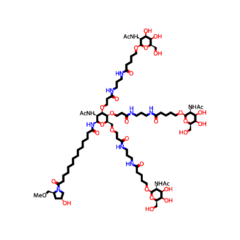 COC[C@@H]1C[C@@H](O)CN1C(=O)CCCCCCCCCCCCC(=O)N[C@@H]1O[C@H](COCCC(=O)NCCCNC(=O)CCCCO[C@@H]2O[C@H](CO)[C@H](O)[C@H](O)[C@H]2NC(C)=O)[C@@H](OCCC(=O)NCCCNC(=O)CCCCO[C@@H]2O[C@H](CO)[C@H](O)[C@H](O)[C@H]2NC(C)=O)[C@H](OCCC(=O)NCCCNC(=O)CCCCO[C@@H]2O[C@H](CO)[C@H](O)[C@H](O)[C@H]2NC(C)=O)[C@H]1NC(C)=O